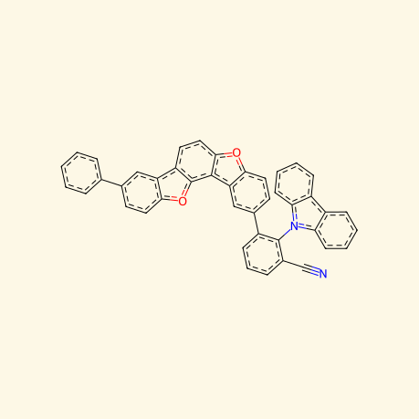 N#Cc1cccc(-c2ccc3oc4ccc5c6cc(-c7ccccc7)ccc6oc5c4c3c2)c1-n1c2ccccc2c2ccccc21